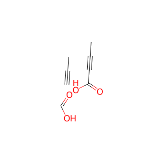 C#CC.CC#CC(=O)O.O=CO